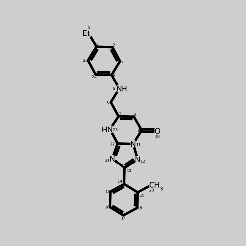 CCc1ccc(NCc2cc(=O)n3nc(-c4ccccc4C)nc3[nH]2)cc1